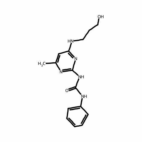 Cc1cc(NCCCO)nc(NC(=O)Nc2ccccc2)n1